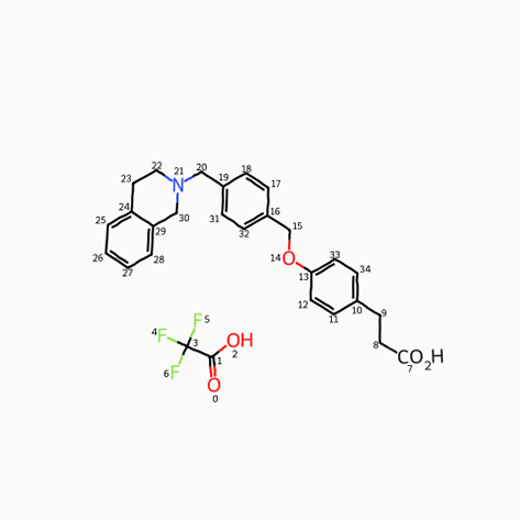 O=C(O)C(F)(F)F.O=C(O)CCc1ccc(OCc2ccc(CN3CCc4ccccc4C3)cc2)cc1